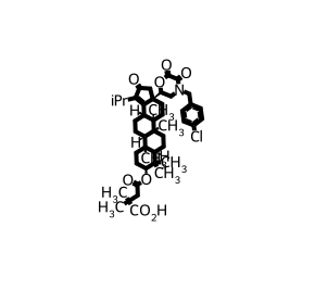 CC(C)C1=C2[C@H]3CC[C@@H]4[C@@]5(C)CC[C@H](OC(=O)CC(C)(C)C(=O)O)C(C)(C)[C@@H]5CC[C@@]4(C)[C@]3(C)CC[C@@]2(C2CN(Cc3ccc(Cl)cc3)C(=O)C(=O)O2)CC1=O